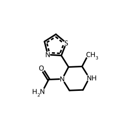 CC1NCCN(C(N)=O)C1c1nccs1